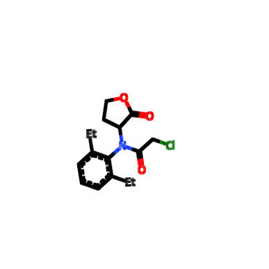 CCc1cccc(CC)c1N(C(=O)CCl)C1CCOC1=O